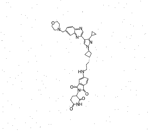 O=C1CCC(N2C(=O)c3ccc(NCCC[C@H]4C[C@H](n5cc(-c6cnc7ccc(CN8CCOCC8)cc7n6)c(C6CC6)n5)C4)cc3C2=O)C(=O)N1